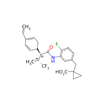 C=CC1=CCC([C@@H](C(=O)Nc2cc(CC3(C(=O)O)CC3)ccc2F)[C@@H](C)C(F)(F)F)C=C1